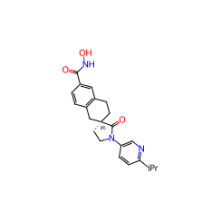 CC(C)c1ccc(N2CC[C@]3(CCc4cc(C(=O)NO)ccc4C3)C2=O)cn1